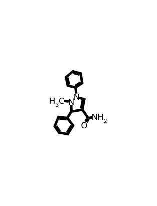 CN1C(c2ccccc2)C(C(N)=O)=CN1c1ccccc1